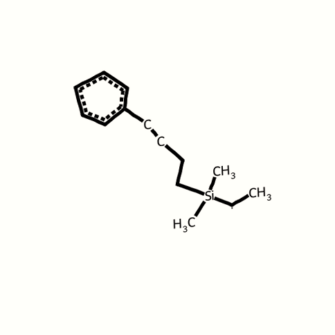 C[CH][Si](C)(C)CCCCc1ccccc1